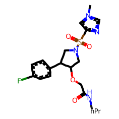 CCCNC(=O)COC1CN(S(=O)(=O)c2cn(C)cn2)CC1c1ccc(F)cc1